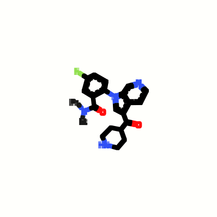 CCN(C(=O)c1cc(F)ccc1-n1cc(C(=O)C2CCNCC2)c2ccncc21)C(C)C